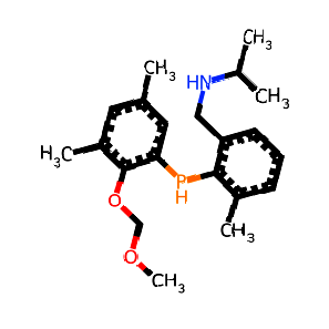 COCOc1c(C)cc(C)cc1Pc1c(C)cccc1CNC(C)C